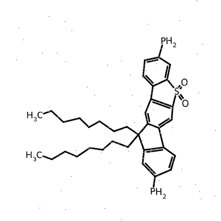 CCCCCCCCC1(CCCCCCCC)c2cc(P)ccc2-c2cc3c(cc21)-c1ccc(P)cc1S3(=O)=O